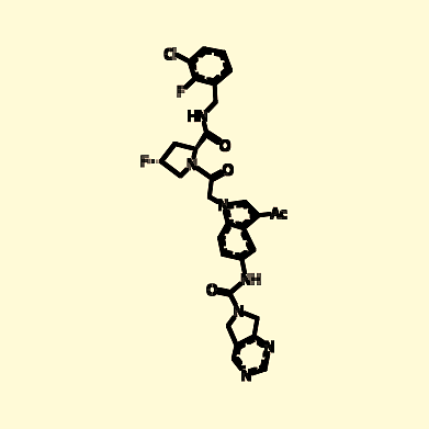 CC(=O)c1cn(CC(=O)N2C[C@H](F)C[C@H]2C(=O)NCc2cccc(Cl)c2F)c2ccc(NC(=O)N3Cc4cncnc4C3)cc12